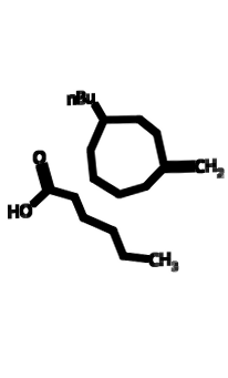 C=C1CCCCC(CCCC)CC1.CCCCCC(=O)O